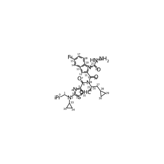 CC(C)CN(c1nc(C(=O)N(C(=O)c2cc3cc(F)ccc3n2C(=O)NN)[C@H]([C]=O)CC2CC2)cs1)C1CC1